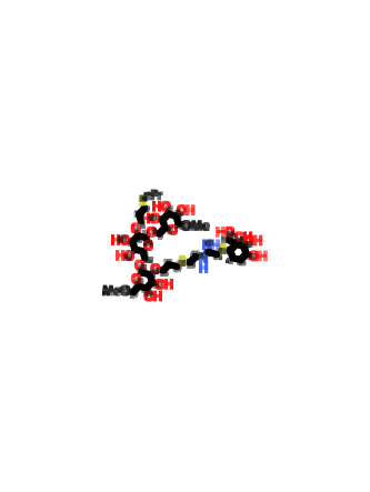 CCCSCCCOC1C(OCC2OC(OC)C(O)C(O)C2O)OC(COC2OC(COC)C(O)C(O)C2OCCCSCCNC(=N)CSC2CCC(O)C(O)C2(O)CO)C(O)C1O